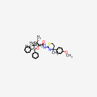 COc1ccc(C2(C)CCSC(NC(=O)[C@H](O[Si](c3ccccc3)(c3ccccc3)C(C)(C)C)C(C)C)=N2)cc1